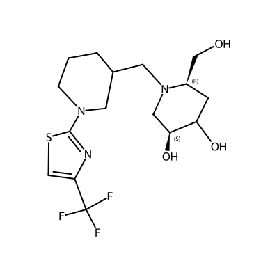 OC[C@H]1CC(O)[C@@H](O)CN1CC1CCCN(c2nc(C(F)(F)F)cs2)C1